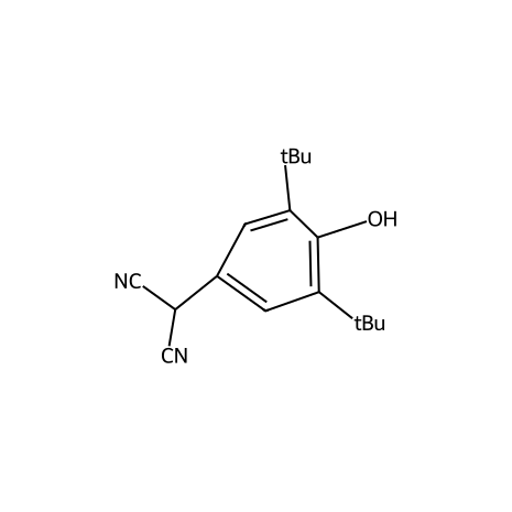 CC(C)(C)c1cc(C(C#N)C#N)cc(C(C)(C)C)c1O